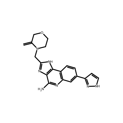 C=C1COCCN1Cc1nc2c(N)nc3cc(-c4cc[nH]n4)ccc3c2[nH]1